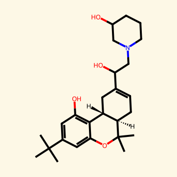 CC(C)(C)c1cc(O)c2c(c1)OC(C)(C)[C@@H]1CC=C(C(O)CN3CCCC(O)C3)C[C@@H]21